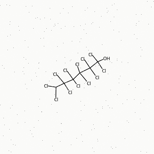 OC(Cl)(Cl)C(Cl)(Cl)C(Cl)(Cl)C(Cl)(Cl)C(Cl)(Cl)C(Cl)Cl